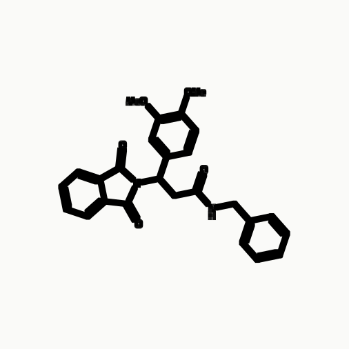 COc1ccc(C(CC(=O)NCc2ccccc2)N2C(=O)c3ccccc3C2=O)cc1OC